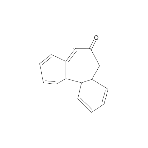 O=C1[C]=C2C=CC=CC2C2C=CC=CC2C1